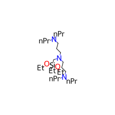 CCCN(CCC)CCCN(CCCN(CCC)CCC)C[Si](CC)(OCC)OCC